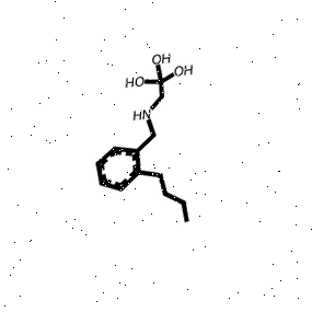 CCCCc1ccccc1CNCC(O)(O)O